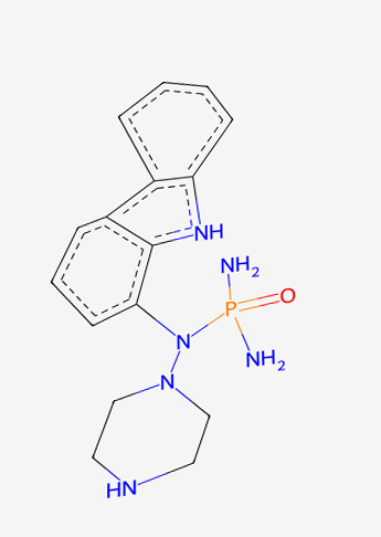 NP(N)(=O)N(c1cccc2c1[nH]c1ccccc12)N1CCNCC1